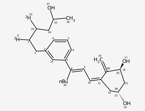 [2H]C(Cc1cccc(C(=CC=C2C[C@@H](O)C[C@H](O)C2=C)CCCC)c1)C([2H])CC(C)O